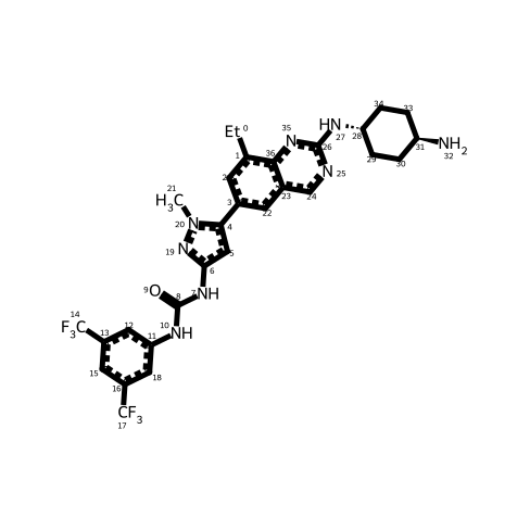 CCc1cc(-c2cc(NC(=O)Nc3cc(C(F)(F)F)cc(C(F)(F)F)c3)nn2C)cc2cnc(N[C@H]3CC[C@H](N)CC3)nc12